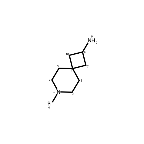 CC(C)N1CCC2(CC1)CC(N)C2